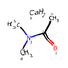 CC(=O)N(C)C.[CaH2]